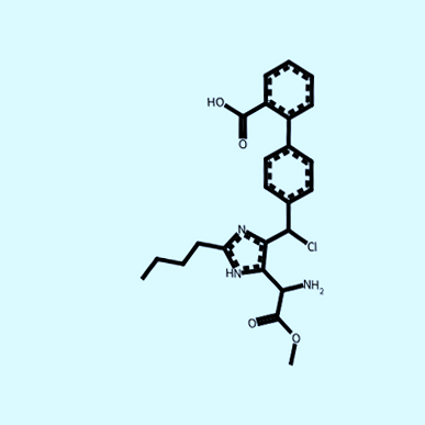 CCCCc1nc(C(Cl)c2ccc(-c3ccccc3C(=O)O)cc2)c(C(N)C(=O)OC)[nH]1